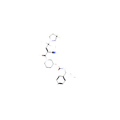 CC(C)(C=C(C#N)C(=O)N1CCC[C@H](OC(=O)N[C@H](CB(O)O)c2ccc(F)cc2)C1)N1CCC(F)(F)C1